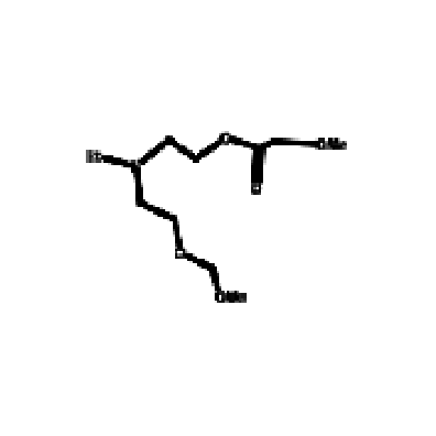 CCN(CCOCOC)CCOC(=O)COC